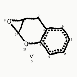 [V].c1ccc2c(c1)CC1OC1O2